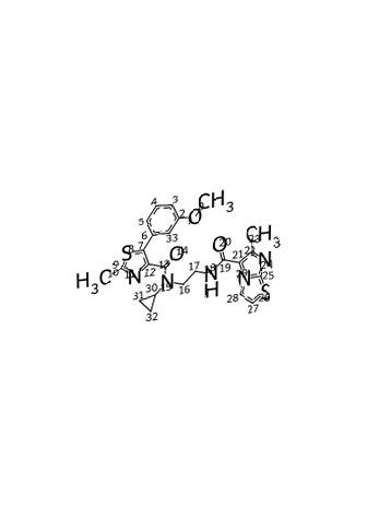 COc1cccc(-c2sc(C)nc2C(=O)N(CCNC(=O)c2c(C)nc3sccn23)C2CC2)c1